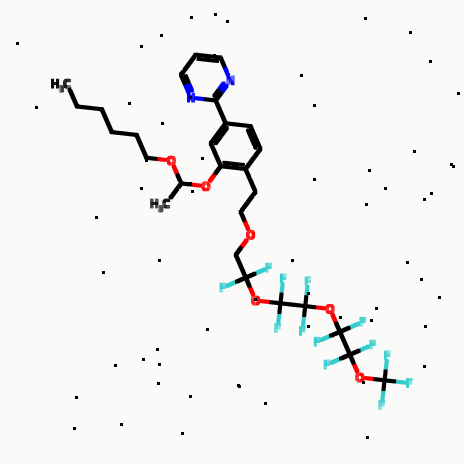 CCCCCCOC(C)Oc1cc(-c2ncccn2)ccc1CCOCC(F)(F)OC(F)(F)C(F)(F)OC(F)(F)C(F)(F)OC(F)(F)F